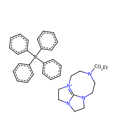 CCOC(=O)N1CCN2CCN3CC[N+](=C23)CC1.c1ccc([B-](c2ccccc2)(c2ccccc2)c2ccccc2)cc1